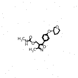 CNC(=O)OCc1c(C)noc1-c1ccc(O[C@@H]2CCCOC2)cc1